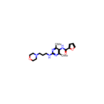 COc1nc(NCCCN2CCOCC2)nc(OC)c1NC(=O)c1ccco1